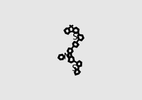 CC1(C)c2ccccc2-c2c1ccc1c2sc2c(-c3ccc(-c4ccc5c(c4)c4cc(-c6cccc7c6sc6ccccc67)ccc4n5-c4ccccc4)cc3)cccc21